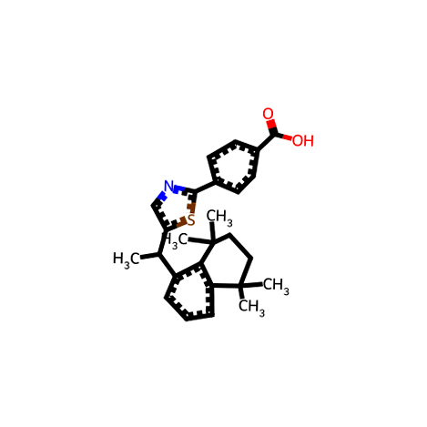 CC(c1cnc(-c2ccc(C(=O)O)cc2)s1)c1cccc2c1C(C)(C)CCC2(C)C